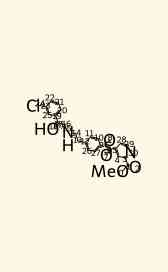 COC(=O)c1cc(S(=O)(=O)c2ccc(CCNC[C@H](O)c3cccc(Cl)c3)cc2)ccn1